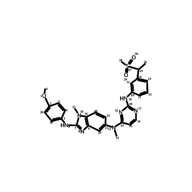 COc1ccc(Nc2nc3cc(N(C)c4ccnc(Nc5cccc(C(C)S(C)(=O)=O)c5)n4)ccc3n2C)cc1